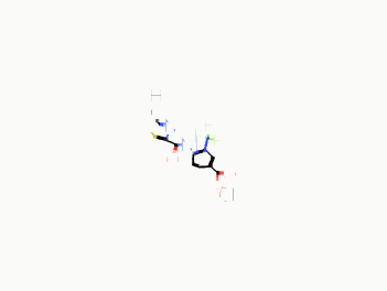 COC(=O)c1ccc(NC(=O)c2csc(C)n2)c(C(F)(F)F)c1